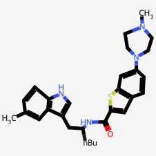 CCCCC(Cc1c[nH]c2ccc(C)cc12)NC(=O)c1cc2ccc(N3CCN(C)CC3)cc2s1